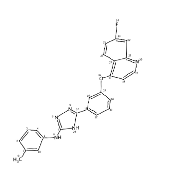 Cc1cccc(Nc2nnc(-c3cccc(Oc4ccnc5cc(F)ccc45)c3)[nH]2)c1